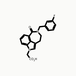 O=C(O)Cn1cc2c3c(cccc31)C(=O)N(Cc1cccc(F)c1)CC2